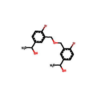 CC(O)c1ccc(Br)c(COCc2cc(C(C)O)ccc2Br)c1